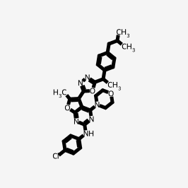 Cc1oc2nc(Nc3ccc(Cl)cc3)nc(N3CCOCC3)c2c1-c1nnc(C(C)c2ccc(CC(C)C)cc2)o1